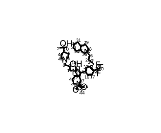 CC(C)(O)C1CCN(C[C@H](O)Cn2nc(-c3ccc(C(F)(F)F)c(SCCN4CCC5CCCCC5C4)c3)c3c2CCN(S(C)(=O)=O)C3)CC1